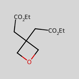 CCOC(=O)CC1(CC(=O)OCC)COC1